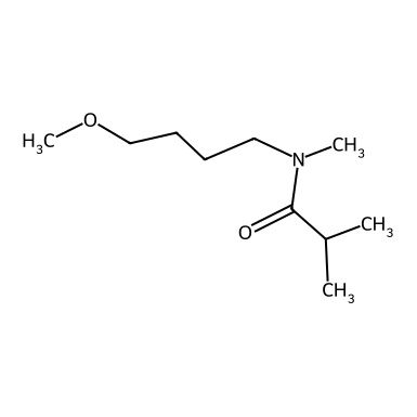 COCCCCN(C)C(=O)C(C)C